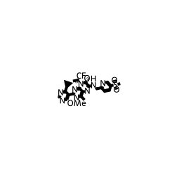 COc1ncnc(C2CC2)c1-c1nc(C)c2nc(NCc3ccc(S(C)(=O)=O)cn3)c(=O)n([C@@H](C)C(F)(F)F)c2n1